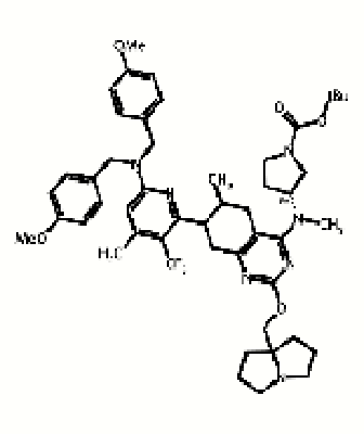 COc1ccc(CN(Cc2ccc(OC)cc2)c2cc(C)c(C(F)(F)F)c(C3Cc4nc(OCC56CCCN5CCC6)nc(N(C)[C@@H]5CCN(C(=O)OC(C)(C)C)C5)c4CC3C)n2)cc1